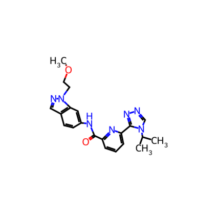 COCCn1ncc2ccc(NC(=O)c3cccc(-c4nncn4C(C)C)n3)cc21